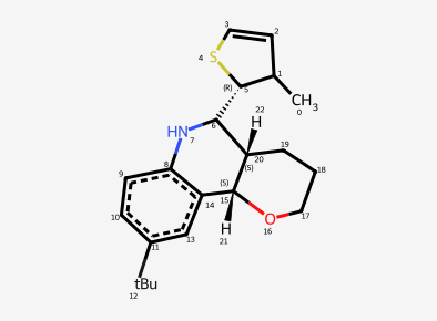 CC1C=CS[C@H]1C1Nc2ccc(C(C)(C)C)cc2[C@H]2OCCC[C@@H]12